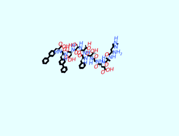 C[C@@H](O)[C@H](NC(=O)CNC(=O)[C@H](CCC(=O)O)NC(=O)C(C)(C)NC(=O)[C@@H](N)Cc1c[nH]cn1)C(=O)N[C@H](Cc1ccccc1)C(=O)N[C@H](C(=O)N[C@@H](CO)C(=O)N[C@@H](CC(=O)O)C(=O)N[C@@H](Cc1ccc(-c2ccccc2)cc1)C(=O)N[C@@H](Cc1ccc(-c2ccccc2)cc1)C(=O)O)[C@@H](C)O